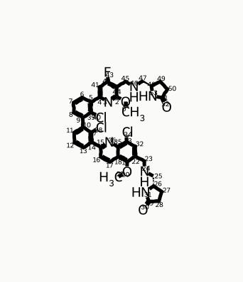 COc1nc(-c2cccc(-c3cccc(-c4ccc5c(OC)c(CNC[C@@H]6CCC(=O)N6)cc(Cl)c5n4)c3Cl)c2Cl)cc(F)c1CNC[C@H]1CCC(=O)N1